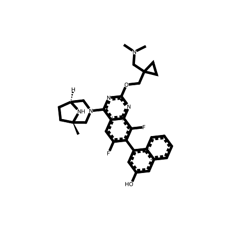 CN(C)CC1(COc2nc(N3C[C@@H]4CC[C@@](C)(C3)N4)c3cc(F)c(-c4cc(O)cc5ccccc45)c(F)c3n2)CC1